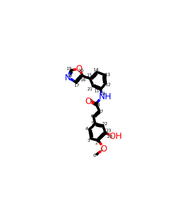 COc1ccc(/C=C/C(=O)Nc2cccc(-c3cnco3)c2)cc1O